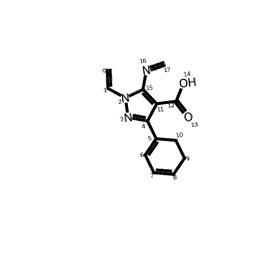 C=Cn1nc(C2=CC=CCC2)c(C(=O)O)c1N=C